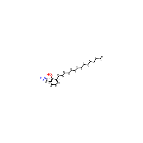 CCCCCCCCCCCCCCCc1c[c]cc(CN)c1O